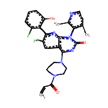 C=CC(=O)N1CCN(c2nc(=O)n(-c3c(C)ccnc3C)c3nc(-c4c(O)cccc4F)c(F)cc23)CC1